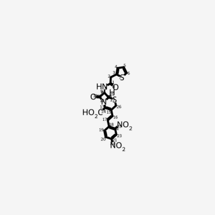 O=C(Cc1cccs1)N[C@@H]1C(=O)N2C(C(=O)O)=C(C=Cc3ccc([N+](=O)[O-])cc3[N+](=O)[O-])CS[C@H]12